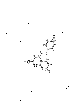 O=C(O)C=C(CCc1ccc(Cl)cc1)c1ccc(F)cc1